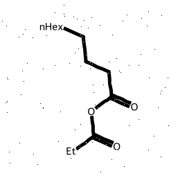 CCCCCCCCCC(=O)OC(=O)CC